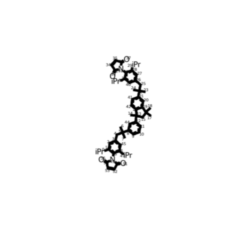 CC(C)c1cc(CC(C)(C)c2cccc(C3(C)CC(C)(C)c4cc(C(C)(C)Cc5cc(C(C)C)c(N6C(=O)C=CC6=O)c(C(C)C)c5)ccc43)c2)cc(C(C)C)c1N1C(=O)C=CC1=O